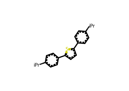 CC(C)c1ccc(-c2ccc(-c3ccc(C(C)C)cc3)s2)cc1